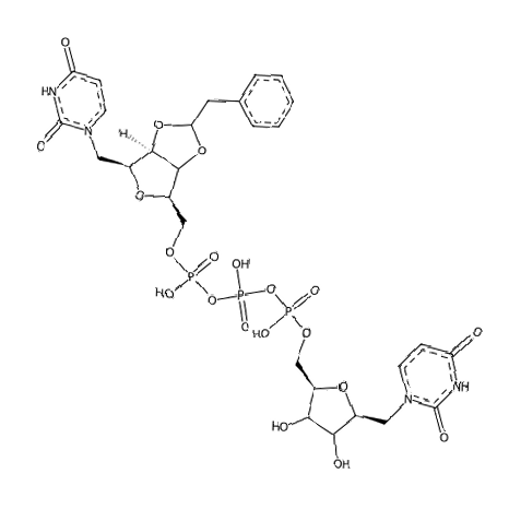 O=c1ccn(C[C@@H]2O[C@H](COP(=O)(O)OP(=O)(O)OP(=O)(O)OC[C@H]3O[C@@H](Cn4ccc(=O)[nH]c4=O)[C@H]4OC(Cc5ccccc5)OC34)C(O)C2O)c(=O)[nH]1